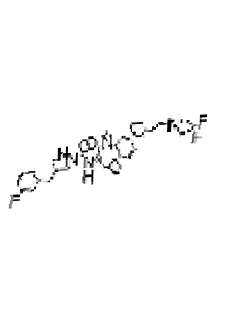 CN1C(=O)[C@@H](NC(=O)n2cc(Cc3cccc(F)c3)cn2)COc2ccc(OCCN3CC(F)(F)C3)cc21